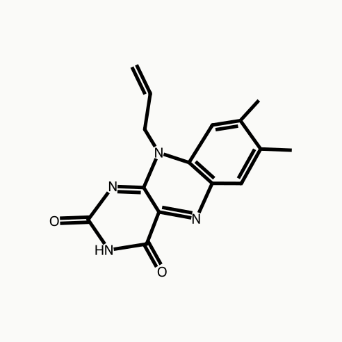 C=CCn1c2nc(=O)[nH]c(=O)c-2nc2cc(C)c(C)cc21